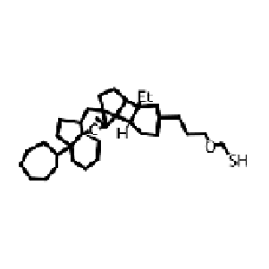 CCC12CC(CCCOCS)CC[C@H]1C13C2CCC12CC1CCC4(C5CCCCCC5)CCCC[C@]14CC23C